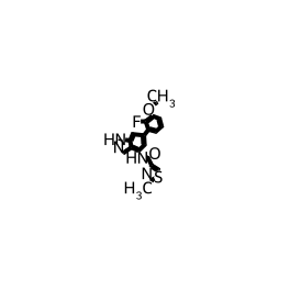 CCOc1cccc(-c2cc(NC(=O)c3csc(C)n3)c3cn[nH]c3c2)c1F